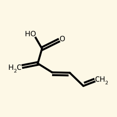 C=CC=CC(=C)C(=O)O